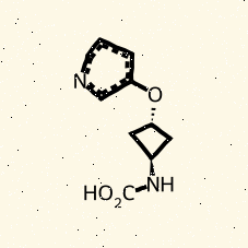 O=C(O)N[C@H]1C[C@H](Oc2cccnc2)C1